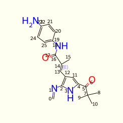 C=Nc1[nH]c(C(=O)C(C)(C)C)cc1/C=C(\C)C(=O)Nc1ccc(N)cc1